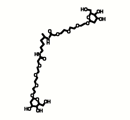 CC(CCCCNC(=O)COCCOCCOCCOC1CC(O)C(O)C(CO)O1)NC(=O)COCCOCCOCCOC1CC(O)C(O)C(CO)O1